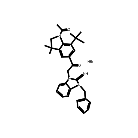 Br.CC(=O)N1CC(C)(C)c2cc(C(=O)Cn3c(=N)n(Cc4ccccc4)c4ccccc43)cc(C(C)(C)C)c21